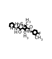 Cc1cc(NC(=O)c2c(C)c(C(=O)C(=O)Nc3ccccn3)n(C)c2C)ccc1F